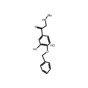 CC(C)(C)NCC(=O)c1ccc(OCc2ccccc2)c(O)c1.Cl